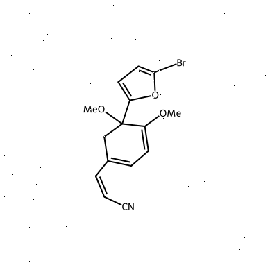 COC1=CC=C(/C=C\C#N)CC1(OC)c1ccc(Br)o1